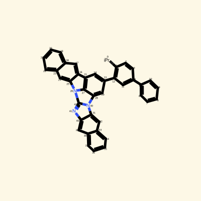 CC(C)c1ccc(-c2ccccc2)cc1-c1cc2c3cc4ccccc4cc3n3c2c(c1)n1c2cc4ccccc4cc2nc13